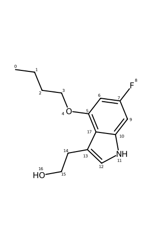 CCCCOc1cc(F)cc2[nH]cc(CCO)c12